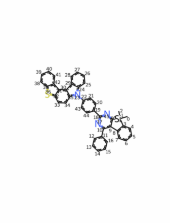 C[Si]1(C)c2ccccc2-c2c(-c3ccccc3)nc(-c3ccc(-n4c5ccccc5c5c6c(ccc54)sc4ccccc46)cc3)nc21